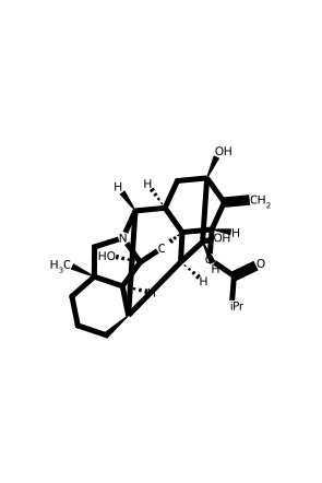 C=C1[C@H](OC(=O)C(C)C)[C@@]23C[C@@]4(O)[C@@H]5[C@]6(C)CCC[C@@]57[C@@H]2[C@@H](O)[C@]1(O)C[C@@H]3[C@H]7N4C6